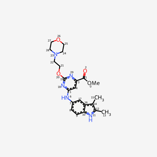 COC(=O)c1cc(Nc2ccc3[nH]c(C)c(C)c3c2)nc(OCCN2CCOCC2)n1